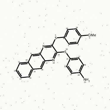 COc1ccc(Sc2nc3cc4ccccc4cc3nc2Sc2ccc(N)cc2)cc1